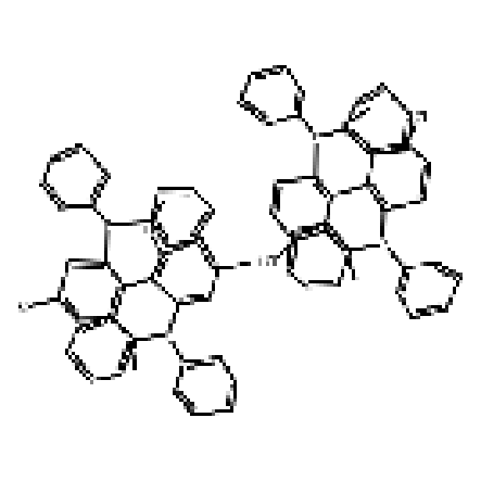 COc1c(Cl)ccc(P(c2ccccc2)c2ccccc2)c1-c1c(P(c2ccccc2)c2ccccc2)ccc(Cl)c1OC.COc1cc(Cl)cc(P(c2ccccc2)c2ccccc2)c1-c1c(OC)cc(Cl)cc1P(c1ccccc1)c1ccccc1